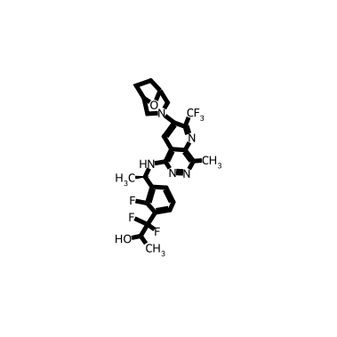 Cc1nnc(N[C@H](C)c2cccc(C(F)(F)C(C)O)c2F)c2cc(N3CC4CCC(C3)O4)c(C(F)(F)F)nc12